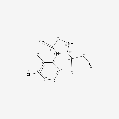 Cc1c(Cl)cccc1N1C(=O)CNC1C(=O)CCl